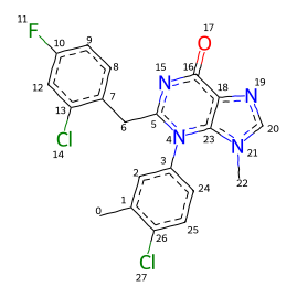 Cc1cc(-n2c(Cc3ccc(F)cc3Cl)nc(=O)c3ncn(C)c32)ccc1Cl